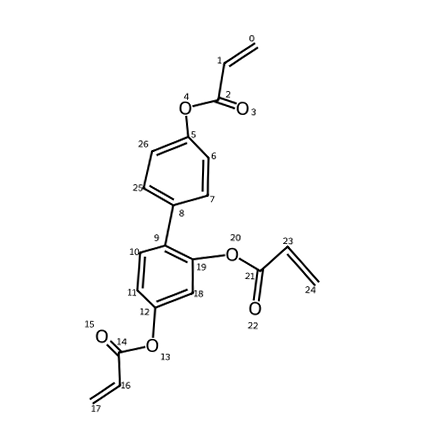 C=CC(=O)Oc1ccc(-c2ccc(OC(=O)C=C)cc2OC(=O)C=C)cc1